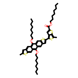 CCCCCCCCOC(=O)c1cc2c(-c3cc4cc5c(OCCCCCCCC)c6cc7sc(C)cc7cc6c(OCCCCCCCC)c5cc4s3)sc(C)c2s1